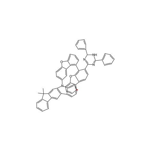 CC1(C)c2ccccc2-c2cc3c4ccccc4n(-c4ccc5oc6cccc(-c7c(C8=NC(c9ccccc9)NC(c9ccccc9)=N8)ccc8c7oc7ccccc78)c6c5c4)c3cc21